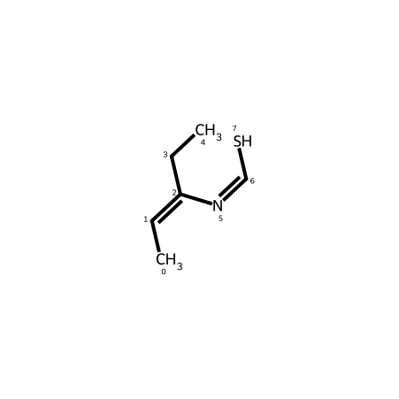 C/C=C(CC)\N=C/S